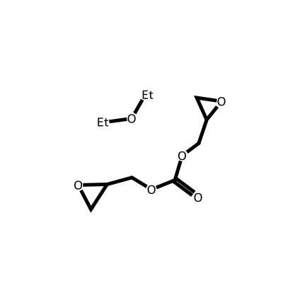 CCOCC.O=C(OCC1CO1)OCC1CO1